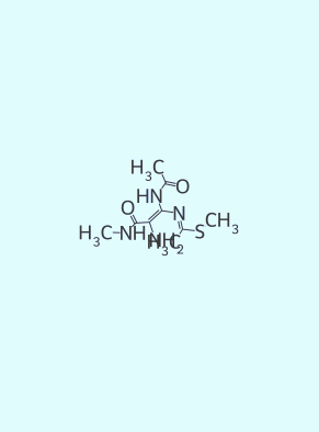 CNC(=O)/C(N)=C(/N=C(\C)SC)NC(C)=O